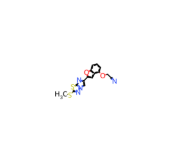 CSc1nn2cc(-c3cc4c(OCC#N)cccc4o3)nc2s1